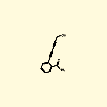 NC(=O)c1ccccc1C#CC#CCO